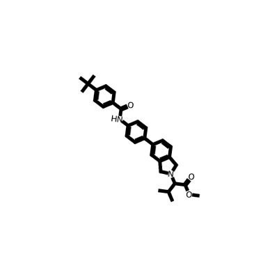 COC(=O)C(C(C)C)N1Cc2ccc(-c3ccc(NC(=O)c4ccc(C(C)(C)C)cc4)cc3)cc2C1